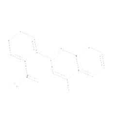 NC(=O)c1ccccc1-c1cc(Cl)c2cccnc2n1